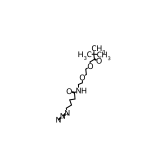 CC(C)(C)C(=O)COCCOCCNC(=O)CCCCN=[N+]=[N-]